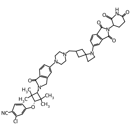 CC1(C)[C@H](Oc2ccc(C#N)c(Cl)c2)C(C)(C)[C@H]1N1Cc2cc(N3CCN(CC4CC5(CCN5c5ccc6c(c5)C(=O)N(C5CCC(=O)NC5=O)C6=O)C4)CC3)ccc2C1=O